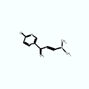 C=C(/C=C/N(C)C)c1ccc(Cl)nc1